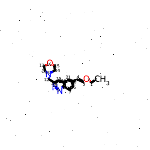 CCO/C=C/c1ccc2nnc(CN3CCOCC3)cc2c1